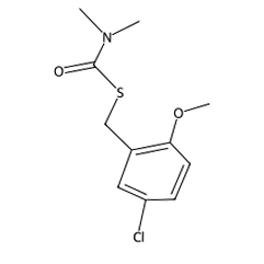 COc1ccc(Cl)cc1CSC(=O)N(C)C